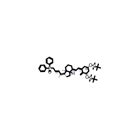 C=C1/C(=C\C=C2/CCC[C@]3(C)[C@@H]([C@H](C)/C=C/CP(=O)(c4ccccc4)c4ccccc4)CC[C@@H]23)C[C@@H](O[Si](C)(C)C(C)(C)C)C[C@@H]1O[Si](C)(C)C(C)(C)C